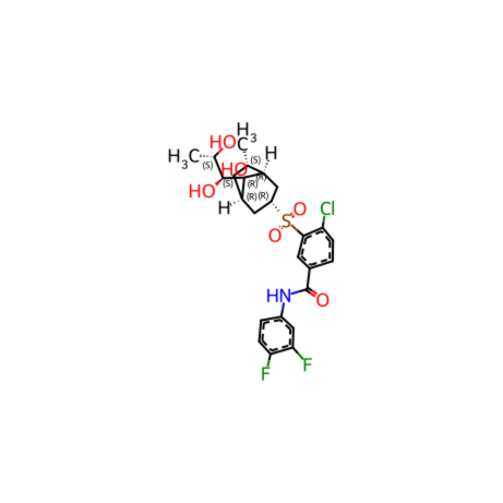 C[C@H](O)[C@H](O)[C@@]1(O)[C@H]2C[C@@H](S(=O)(=O)c3cc(C(=O)Nc4ccc(F)c(F)c4)ccc3Cl)C[C@@H]1[C@@H](C)C2